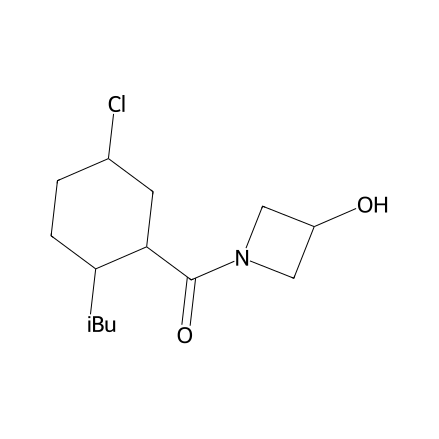 CCC(C)C1CCC(Cl)CC1C(=O)N1CC(O)C1